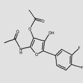 CC(=O)Nc1oc(-c2ccc(F)c(F)c2)c(O)c1OC(C)=O